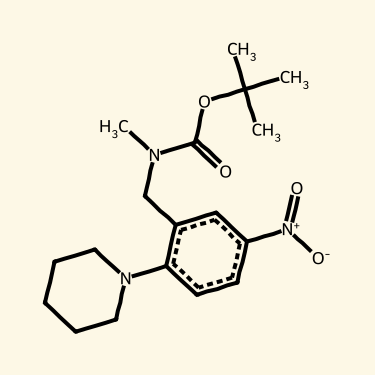 CN(Cc1cc([N+](=O)[O-])ccc1N1CCCCC1)C(=O)OC(C)(C)C